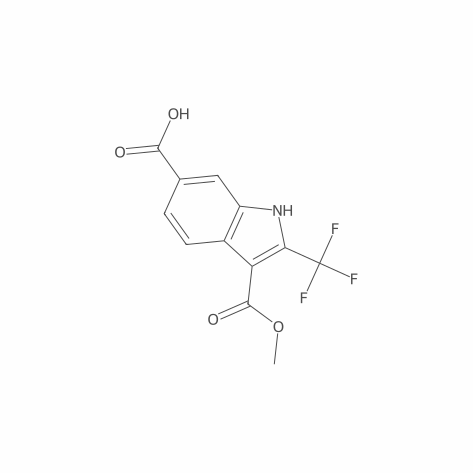 COC(=O)c1c(C(F)(F)F)[nH]c2cc(C(=O)O)ccc12